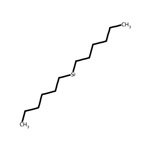 CCCCCC[Si]CCCCCC